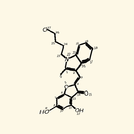 Cc1c(C=C2Oc3cc(O)cc(O)c3C2=O)c2ccccc2n1CCCCCl